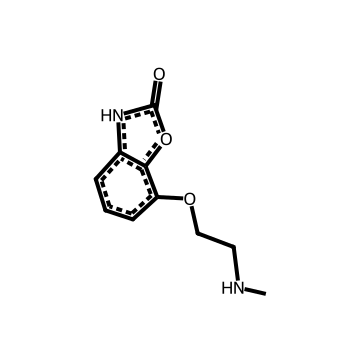 CNCCOc1cccc2[nH]c(=O)oc12